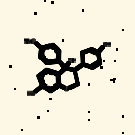 COc1ccc(C2(O)c3ccc(O)cc3OCC2C2C=CC(O)=CC2)cc1